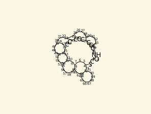 O=C1CSC2CCCC3CCC4CCC5CC6CCC(CCCC7CCCCCC8CCCCCC(CCCC8CCCC7CC6)N1)CCCC5CCCC4CCCCCC3CCC1CCCCCCCCC1C2